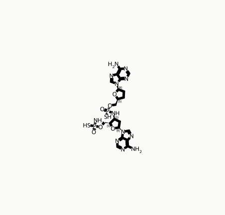 Nc1ncnc2c1ncn2[C@H]1CC[C@@H](COP(=O)(S)N[C@H]2C[C@H](n3cnc4c(N)ncnc43)O[C@@H]2COP(N)(=O)S)O1